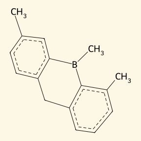 CB1c2cc(C)ccc2Cc2cccc(C)c21